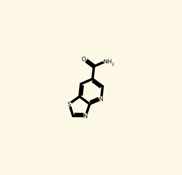 NC(=O)c1cnc2ncsc2c1